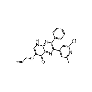 C=CCOc1c[nH]c2nc(-c3ccccc3)c(-c3cc(C)nc(Cl)c3)nc2c1=O